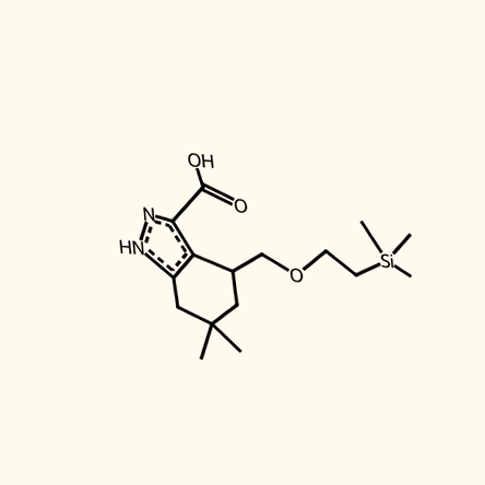 CC1(C)Cc2[nH]nc(C(=O)O)c2C(COCC[Si](C)(C)C)C1